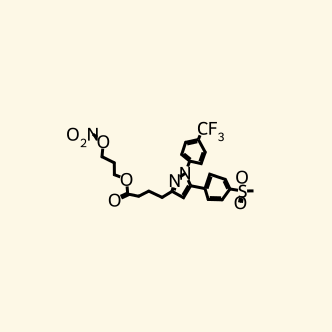 CS(=O)(=O)c1ccc(-c2cc(CCCC(=O)OCCCO[N+](=O)[O-])nn2-c2ccc(C(F)(F)F)cc2)cc1